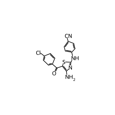 N#Cc1ccc(Nc2nc(N)c(C(=O)c3ccc(Cl)cc3)s2)cc1